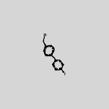 Fc1ccc(-c2ccc(CBr)cc2)cc1